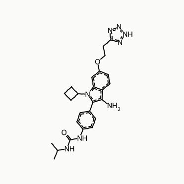 CC(C)NC(=O)Nc1ccc(-c2c(N)c3ccc(OCCc4nn[nH]n4)cc3n2C2CCC2)cc1